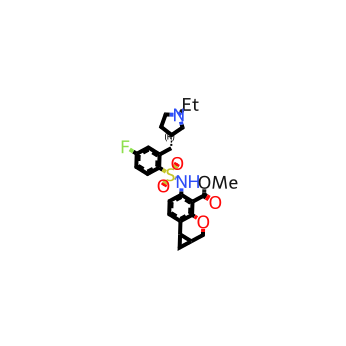 CCN1CC[C@@H](Cc2cc(F)ccc2S(=O)(=O)Nc2ccc3c(c2C(=O)OC)OCC2CC32)C1